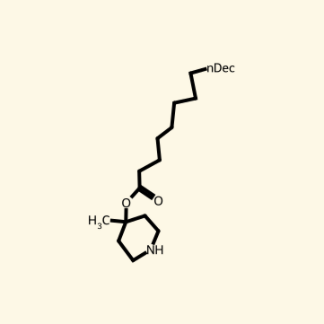 CCCCCCCCCCCCCCCCCC(=O)OC1(C)CCNCC1